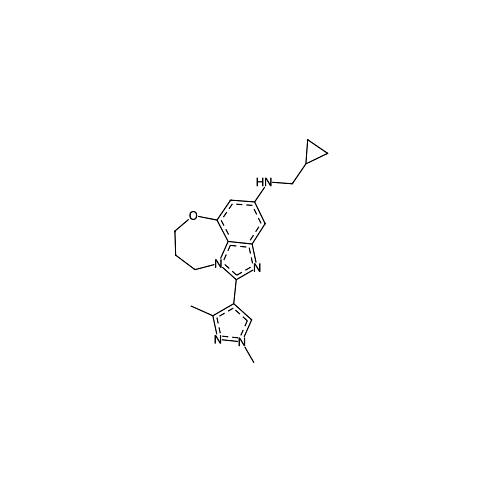 Cc1nn(C)cc1-c1nc2cc(NCC3CC3)cc3c2n1CCCO3